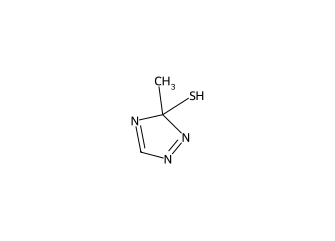 CC1(S)N=CN=N1